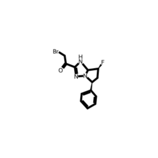 O=C(CBr)C1=NN2C(N1)[C@@H](F)C[C@H]2c1ccccc1